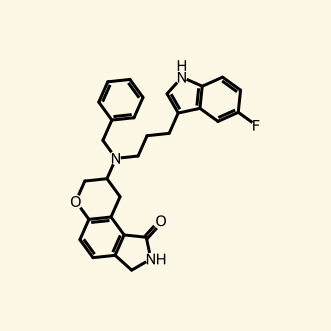 O=C1NCc2ccc3c(c21)CC(N(CCCc1c[nH]c2ccc(F)cc12)Cc1ccccc1)CO3